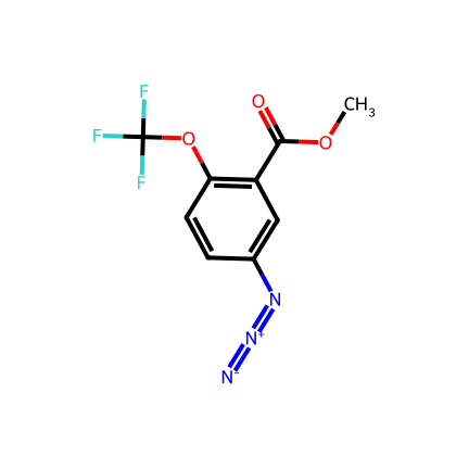 COC(=O)c1cc(N=[N+]=[N-])ccc1OC(F)(F)F